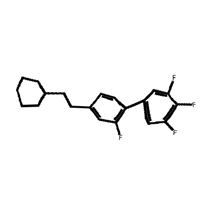 Fc1cc(CCC2CCCCC2)ccc1-c1cc(F)c(F)c(F)c1